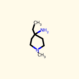 CCC1(N)CCN(C)CC1